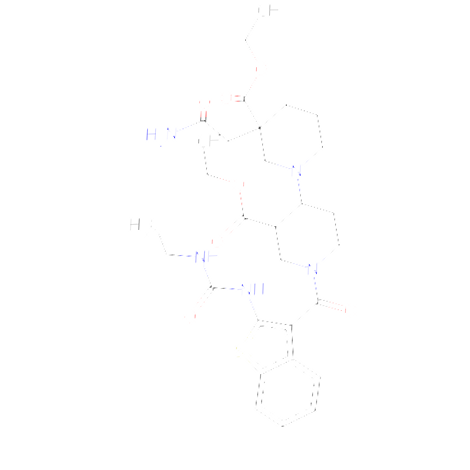 CCNC(=O)Nc1sc2ccccc2c1C(=O)N1CCC(N2CCCC(CC(N)=O)(C(=O)OCC)C2)C(C(=O)OCC)C1